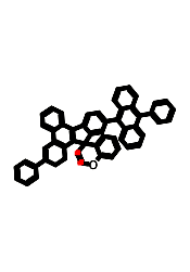 C1=C(c2ccccc2)CCc2c3c(c4ccccc4c21)-c1ccc(-c2c4ccccc4c(-c4ccccc4)c4ccccc24)cc1C31c2ccccc2Oc2ccccc21